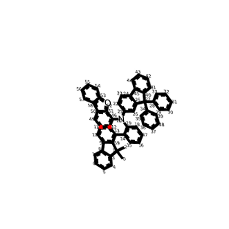 CC1(C)c2ccccc2-c2cccc(-c3ccccc3N(c3ccc4c(c3)C(c3ccccc3)(c3ccccc3)c3ccccc3-4)c3cccc4c3oc3ccccc34)c21